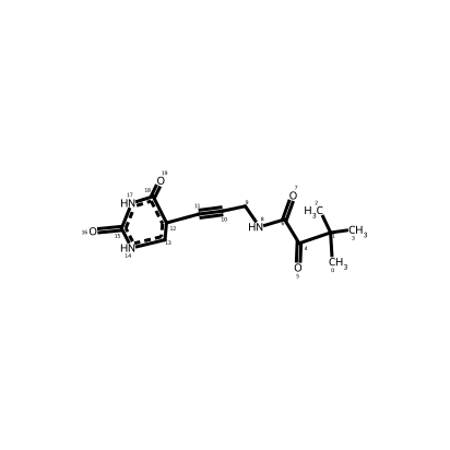 CC(C)(C)C(=O)C(=O)NCC#Cc1c[nH]c(=O)[nH]c1=O